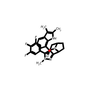 Cc1[nH]c2c(C(=O)N3C4CCC3c3nn(C)c(-c5cc(F)c(F)c(F)c5)c3C4)cccc2c1C